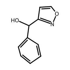 OC(c1ccccc1)c1ccon1